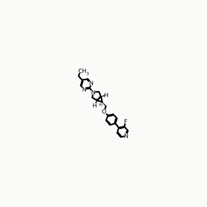 CCc1cnc(N2C[C@@H]3[C@@H](COc4ccc(-c5ccncc5F)cc4)[C@@H]3C2)nc1